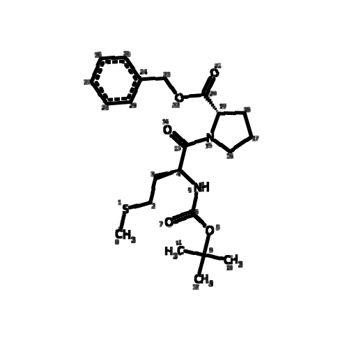 CSCC[C@H](NC(=O)OC(C)(C)C)C(=O)N1CCC[C@H]1C(=O)OCc1ccccc1